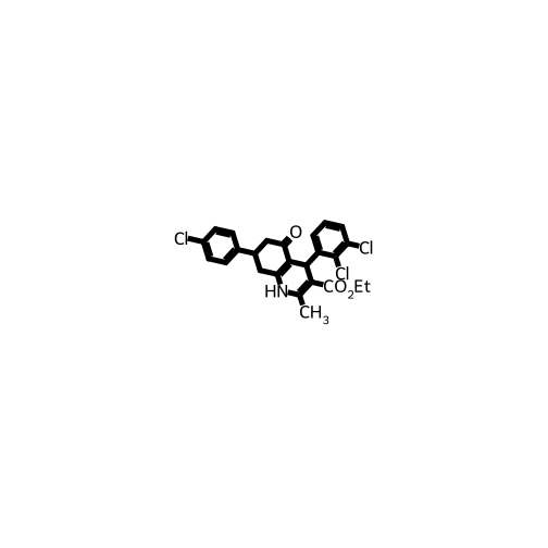 CCOC(=O)C1=C(C)NC2=C(C(=O)CC(c3ccc(Cl)cc3)C2)C1c1cccc(Cl)c1Cl